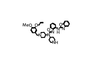 C=CCOc1cc(CN2CCC(N(c3nc4c(Nc5nc6ccccc6o5)cccc4o3)C3CCNCC3)CC2)ccc1OC